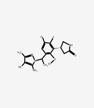 CCOc1c(C(C)n2nc(C)c(C#N)c2N)cc(Cl)c(F)c1[C@@H]1CNC(=O)C1